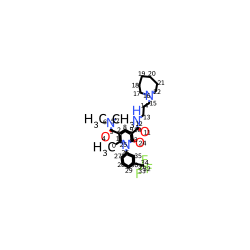 Cc1c(C(=O)N(C)C)cc(C(=O)NCCCN2CCCCCC2)c(=O)n1-c1cccc(C(F)(F)F)c1